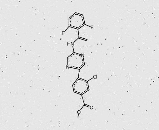 C=C(Nc1cnc(-c2ccc(C(=O)OC)cc2Cl)cn1)c1c(F)cccc1F